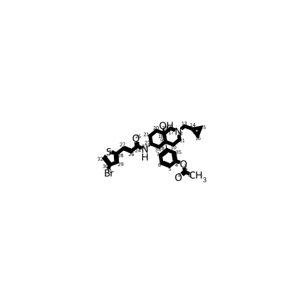 CC(=O)Oc1cccc([C@@]23CCN(CC4CC4)C[C@@]2(O)CC[C@@H](NC(=O)C=Cc2cc(Br)cs2)C3)c1